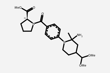 COC(=O)[C@@H]1CCCN1C(=O)c1ccc(N2CCC(C(OC)OC)CC2(C)N)cc1